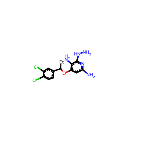 CCC(Oc1cc(N)nc(NN)c1N)c1ccc(Cl)c(Cl)c1